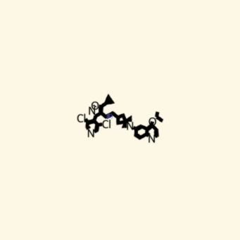 CC(C)Oc1ccnc2ccc(N3CC4(CC(/C=C/c5c(-c6c(Cl)cncc6Cl)noc5C5CC5)C4)C3)cc12